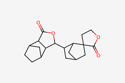 O=C1OC(C2CC3CC2C2(CCOC2=O)C3)C2C3CCC(C3)C12